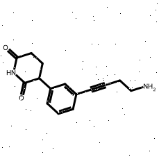 NCCC#Cc1cccc(C2CCC(=O)NC2=O)c1